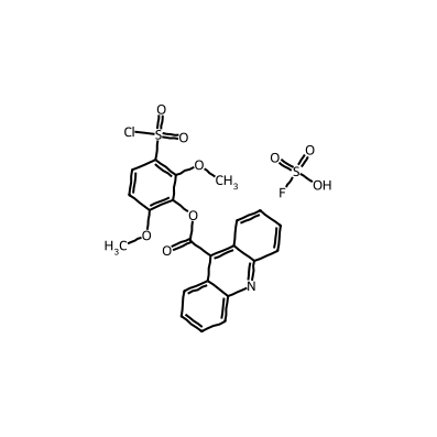 COc1ccc(S(=O)(=O)Cl)c(OC)c1OC(=O)c1c2ccccc2nc2ccccc12.O=S(=O)(O)F